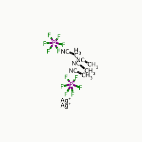 CC#N.CC#N.CC#N.CC#N.F[P-](F)(F)(F)(F)F.F[P-](F)(F)(F)(F)F.[Ag+].[Ag+]